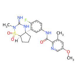 COc1cnc(C(=O)Nc2ccc(F)c([C@]34CCC[C@H]3S(=O)(=O)N(C)C(=N)N4)c2)c(C)c1